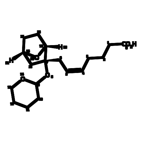 O=C(O)CCC/C=C\C[C@]1(OC2CCCCO2)C[C@@H]2CC[C@H]1O2